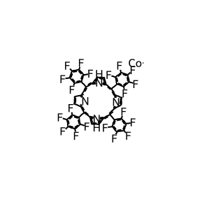 Fc1c(F)c(F)c(-c2c3nc(c(-c4c(F)c(F)c(F)c(F)c4F)c4ccc([nH]4)c(-c4c(F)c(F)c(F)c(F)c4F)c4nc(c(-c5c(F)c(F)c(F)c(F)c5F)c5ccc2[nH]5)C=C4)C=C3)c(F)c1F.[Co]